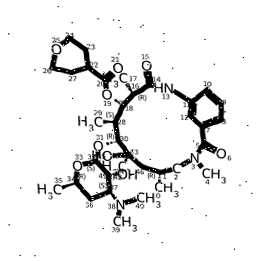 C[C@H]1CN(C)C(=O)c2cccc(c2)NC(=O)[C@H](C)[C@@H](OC(=O)C2CCOCC2)[C@H](C)[C@@H](O[C@@H]2O[C@H](C)C[C@H](N(C)C)[C@H]2O)[C@](C)(O)C1